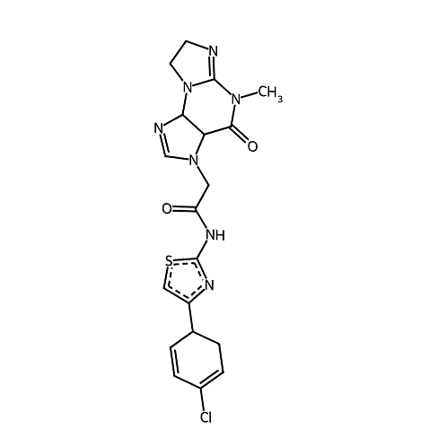 CN1C(=O)C2C(N=CN2CC(=O)Nc2nc(C3C=CC(Cl)=CC3)cs2)N2CCN=C12